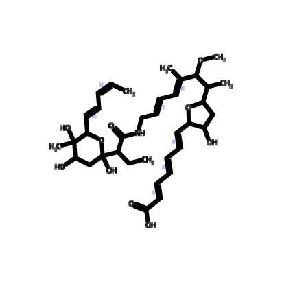 C/C=C\C=C\C1OC(O)(C(CC)C(=O)NC/C=C/C=C(\C)C(OC)C(C)C2CC(O)C(/C=C/C=C/C=C/C(=O)O)O2)CC(O)C1(C)O